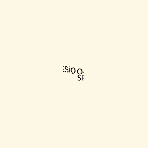 [O].[O].[Si].[Si]